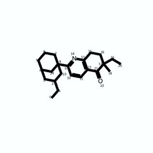 CCC1CC2CCCC(c3ccc4c(n3)CCC(C)(CC)C4=O)(C1)C2